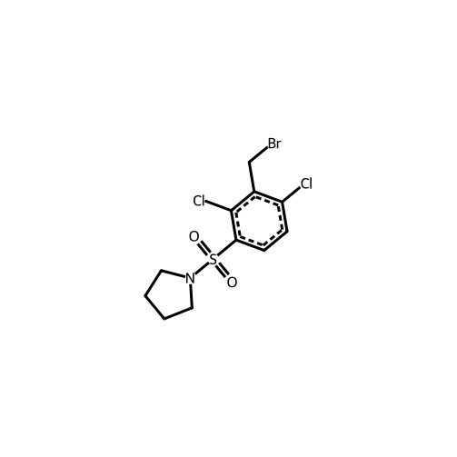 O=S(=O)(c1ccc(Cl)c(CBr)c1Cl)N1CCCC1